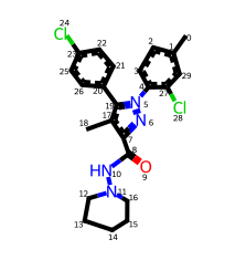 Cc1ccc(-n2nc(C(=O)NN3CCCCC3)c(C)c2-c2ccc(Cl)cc2)c(Cl)c1